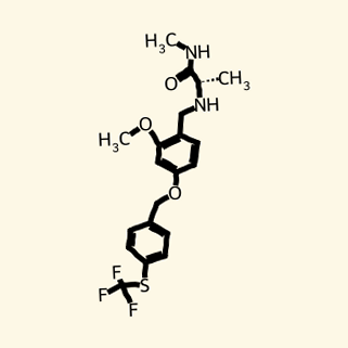 CNC(=O)[C@H](C)NCc1ccc(OCc2ccc(SC(F)(F)F)cc2)cc1OC